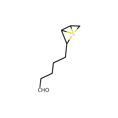 O=CCCCCC1C2C3CS132